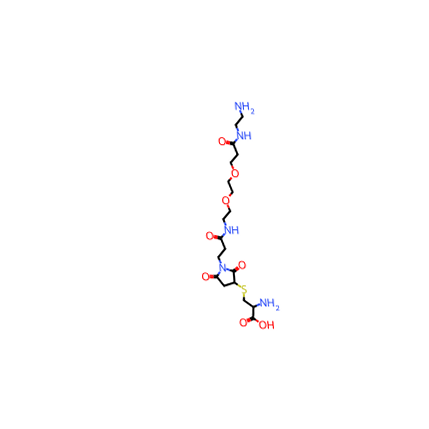 NCCNC(=O)CCOCCOCCNC(=O)CCN1C(=O)CC(SCC(N)C(=O)O)C1=O